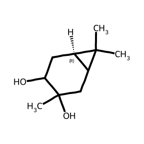 CC1(O)CC2[C@@H](CC1O)C2(C)C